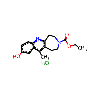 CCOC(=O)N1CCc2nc3ccc(O)cc3c(C)c2CC1.Cl